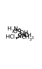 CN(C)CC1CN(CC2CC2)CCC1(O)c1cccc(C(N)=O)c1.Cl